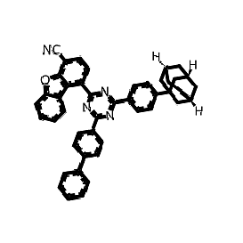 N#Cc1ccc(-c2nc(-c3ccc(-c4ccccc4)cc3)nc(-c3ccc(C45C[C@H]6C[C@H](C4)C[C@@H](C5)C6)cc3)n2)c2c1oc1ccccc12